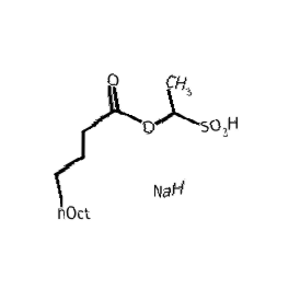 CCCCCCCCCCCC(=O)OC(C)S(=O)(=O)O.[NaH]